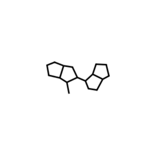 CC1C2CCCC2CC1C1CCC2CCCC21